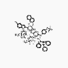 CC(C)(C)OC(=O)C[C@H](NC(=O)[C@H](Cc1ccc2ccccc2c1)NC(=O)c1cc2cc(Cl)ccc2n1C(=O)OC(C)(C)C)C(=O)N[C@@H](CCC(=O)NC(c1ccccc1)(c1ccccc1)c1ccccc1)C(=O)Nc1ccc(OC(F)(F)F)cc1